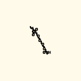 CCSC1CC(=O)N(CCOCCOCCOCCOCC(=O)NC)C1=O